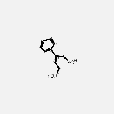 CCCCCCCCCCC(CS(=O)(=O)O)c1ccccc1